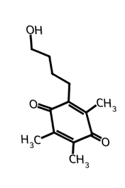 CC1=C(C)C(=O)C(CCCCO)=C(C)C1=O